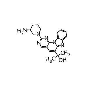 CC(C)(O)c1cc2cnc(N3CCC[C@H](N)C3)nc2n2c1nc1ccccc12